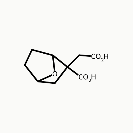 O=C(O)CC1(C(=O)O)CC2CCC1O2